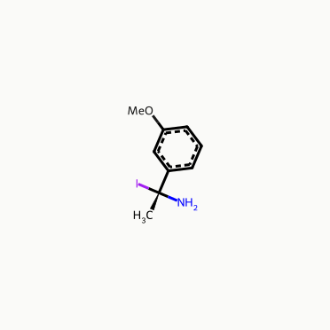 COc1cccc([C@](C)(N)I)c1